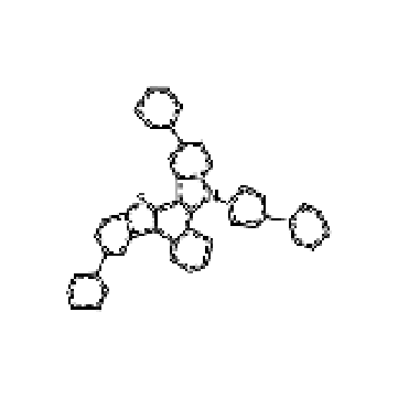 c1ccc(-c2ccc(-n3c4ccc(-c5ccccc5)cc4c4c5sc6ccc(-c7ccccc7)cc6c5c5ccccc5c43)cc2)cc1